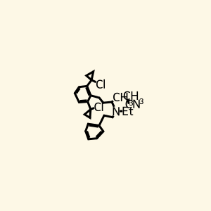 CC#N.CCN(CCc1ccccc1)C(C)CCc1c(C2(Cl)CC2)cccc1C1(Cl)CC1